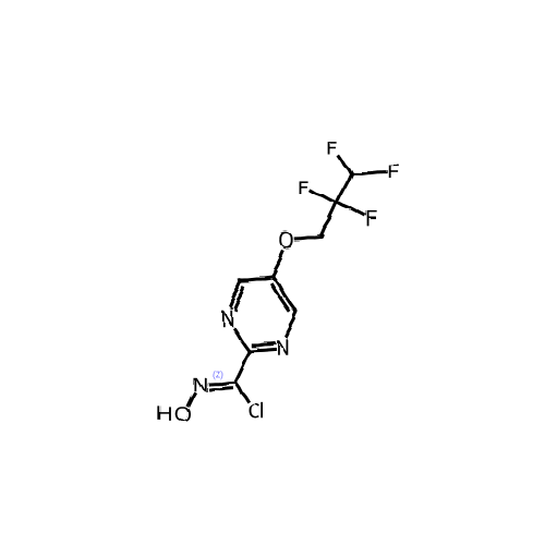 O/N=C(\Cl)c1ncc(OCC(F)(F)C(F)F)cn1